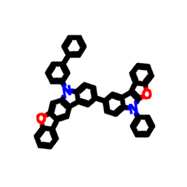 c1ccc(-c2cccc(-n3c4ccc(-c5ccc6c(c5)c5c7ccccc7oc5n6-c5ccccc5)cc4c4cc5c(cc43)oc3ccccc35)c2)cc1